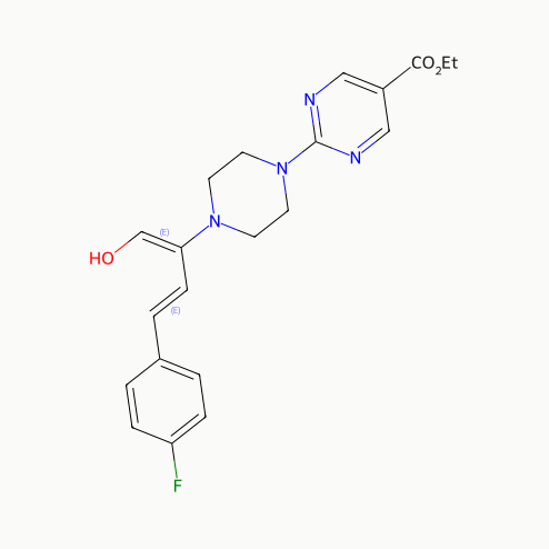 CCOC(=O)c1cnc(N2CCN(C(/C=C/c3ccc(F)cc3)=C/O)CC2)nc1